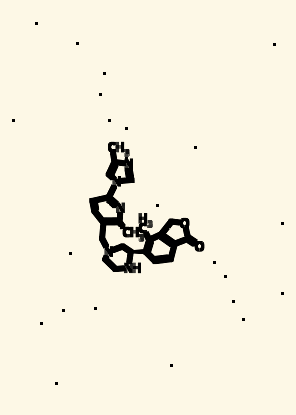 Cc1cn(-c2ccc(CN3CCN[C@H](c4ccc5c(c4C)COC5=O)C3)c(C)n2)cn1